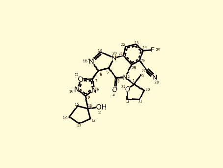 CC1(N2C(=O)C3C(c4nc(C5(O)CCCC5)no4)N=CN3c3ccc(F)c(C#N)c32)CCCO1